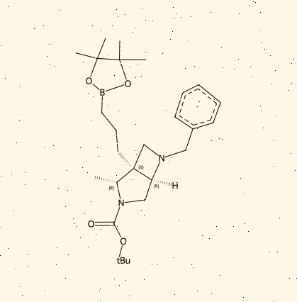 C[C@H]1N(C(=O)OC(C)(C)C)C[C@@H]2N(Cc3ccccc3)C[C@@]21CCCB1OC(C)(C)C(C)(C)O1